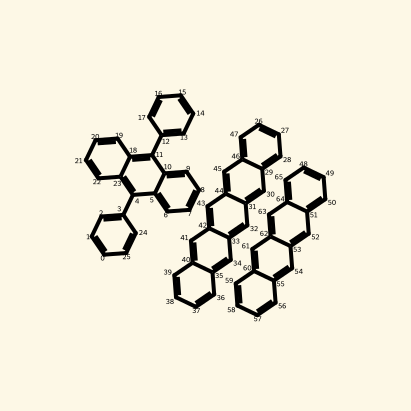 c1ccc(-c2c3ccccc3c(-c3ccccc3)c3ccccc23)cc1.c1ccc2cc3cc4cc5ccccc5cc4cc3cc2c1.c1ccc2cc3cc4ccccc4cc3cc2c1